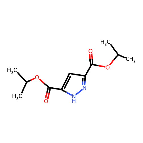 CC(C)OC(=O)c1cc(C(=O)OC(C)C)[nH]n1